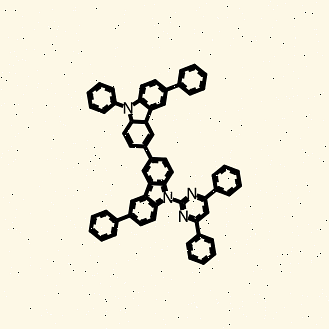 C1=CC2C(C=C1c1ccc3c(c1)c1cc(-c4ccccc4)ccc1n3-c1nc(-c3ccccc3)cc(-c3ccccc3)n1)c1cc(-c3ccccc3)ccc1N2c1ccccc1